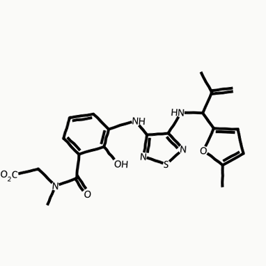 C=C(C)C(Nc1nsnc1Nc1cccc(C(=O)N(C)CC(=O)O)c1O)c1ccc(C)o1